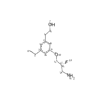 CCc1cc(CCO)cc(OC[C@H](F)CN)c1